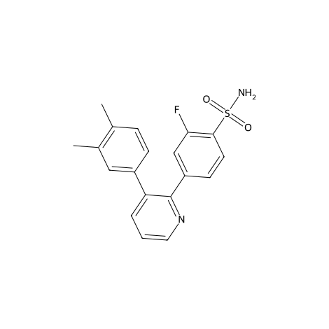 Cc1ccc(-c2cccnc2-c2ccc(S(N)(=O)=O)c(F)c2)cc1C